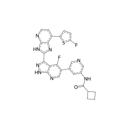 O=C(Nc1cncc(-c2cnc3[nH]nc(-c4nc5c(-c6ccc(F)s6)ccnc5[nH]4)c3c2F)c1)C1CCC1